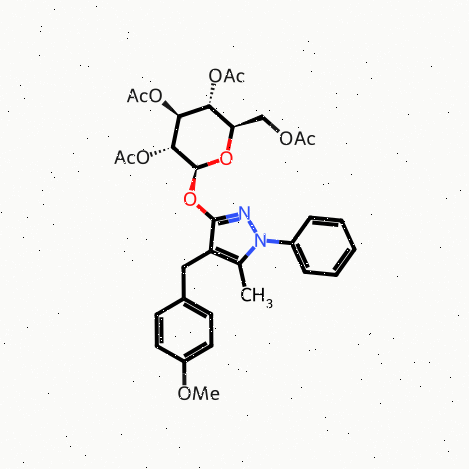 COc1ccc(Cc2c(O[C@@H]3O[C@H](COC(C)=O)[C@@H](OC(C)=O)[C@H](OC(C)=O)[C@H]3OC(C)=O)nn(-c3ccccc3)c2C)cc1